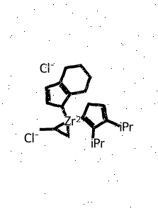 CC(C)C1=CC[C]([Zr+2]2([CH]3C=CC4=C3CCCC4)[CH2][CH]2C)=C1C(C)C.[Cl-].[Cl-]